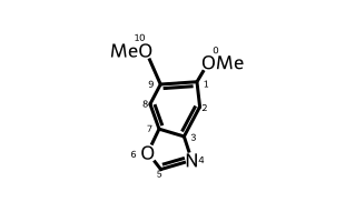 COc1cc2ncoc2cc1OC